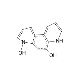 Oc1cc2c(c3c1NC=CC=3)=CC=CN2O